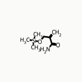 C=C(CO[Si](C)(C)C)C(N)=O